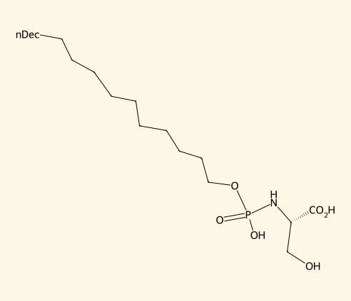 CCCCCCCCCCCCCCCCCCCCOP(=O)(O)N[C@@H](CO)C(=O)O